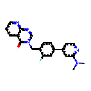 CN(C)c1cc(-c2ccc(Cn3cnc4ncccc4c3=O)c(F)c2)ccn1